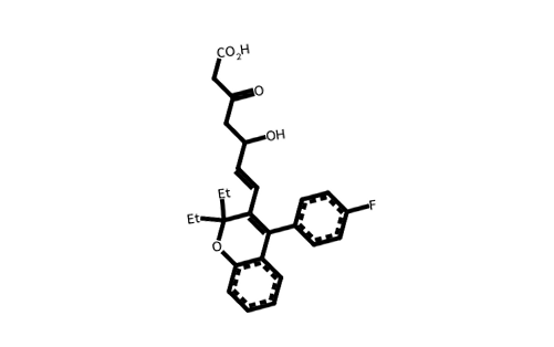 CCC1(CC)Oc2ccccc2C(c2ccc(F)cc2)=C1/C=C/C(O)CC(=O)CC(=O)O